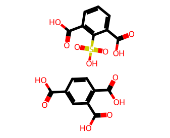 O=C(O)c1ccc(C(=O)O)c(C(=O)O)c1.O=C(O)c1cccc(C(=O)O)c1S(=O)(=O)O